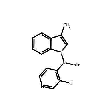 CCCN(c1ccncc1Cl)n1cc(C)c2ccccc21